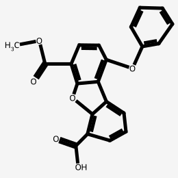 COC(=O)c1ccc(Oc2ccccc2)c2c1oc1c(C(=O)O)cccc12